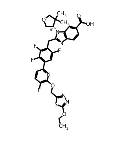 CCOc1nnc(COc2nc(-c3cc(F)c(Cc4nc5ccc(C(=O)O)cc5n4[C@@H]4COCC4(C)C)c(F)c3F)ccc2F)s1